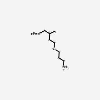 CCCCCCC(C)CCOCCCN